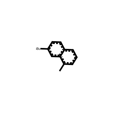 CCC(C)c1ccc2cccc(C)c2c1